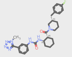 Cn1nnnc1-c1cccc(NC(=O)N[C@@H]2CCCC[C@H]2C(=O)N2CCC[C@@H](Cc3ccc(F)cc3)C2)c1